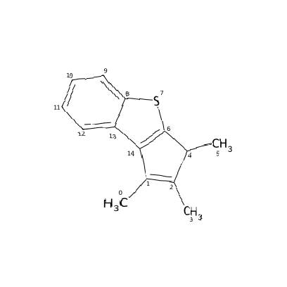 CC1=C(C)C(C)c2sc3ccccc3c21